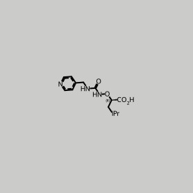 CC(C)C[C@@H](ONC(=O)NCc1ccncc1)C(=O)O